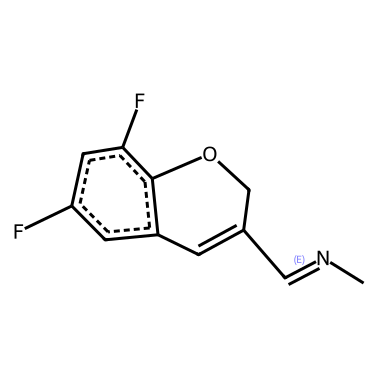 C/N=C/C1=Cc2cc(F)cc(F)c2OC1